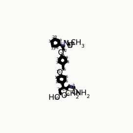 C=C(/C=C\ON)C(CC(=O)O)c1ccc(OCc2ccc(OC/C(=N\OC)c3ccccc3)cc2)cc1